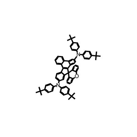 CC(C)(C)c1ccc(N(c2ccc(C(C)(C)C)cc2)c2ccc3c(c2)C2(c4ccccc4Oc4ccccc42)c2c-3c3ccccc3c3cc(N(c4ccc(C(C)(C)C)cc4)c4ccc(C(C)(C)C)cc4)ccc23)cc1